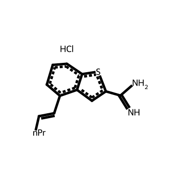 CCCC=Cc1cccc2sc(C(=N)N)cc12.Cl